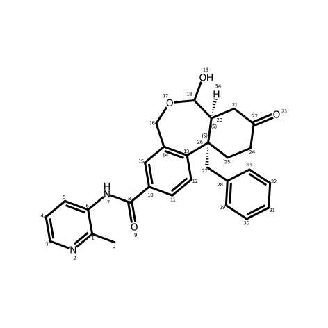 Cc1ncccc1NC(=O)c1ccc2c(c1)COC(O)[C@H]1CC(=O)CC[C@@]21Cc1ccccc1